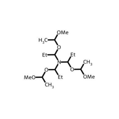 CCC(OC(C)OC)N(C(CC)OC(C)OC)C(CC)OC(C)OC